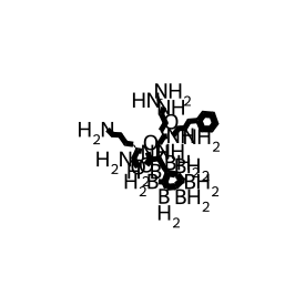 Bc1c(B)c(B)c(C(B)(B)[C@H](NC(=O)[C@@H](CCCNC(=N)N)NC(=O)[C@@H](N)Cc2ccccc2)C(=O)N[C@@H](CCCCN)C(N)=O)c(B)c1B